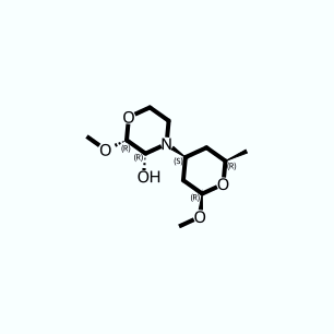 CO[C@H]1C[C@@H](N2CCO[C@@H](OC)[C@H]2O)C[C@@H](C)O1